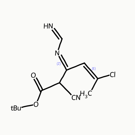 C/C(Cl)=C\C(=N/C=N)C(C#N)C(=O)OC(C)(C)C